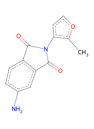 Cc1occc1N1C(=O)c2ccc(N)cc2C1=O